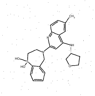 Cc1ccc2nc(N3CCS(O)(O)c4ccccc4C3)cc(N[C@@H]3CCOC3)c2c1